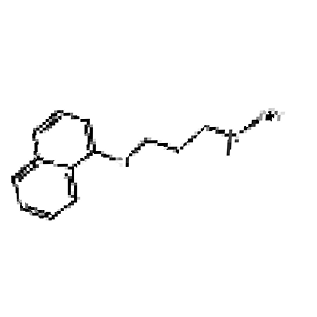 CCCNCCCOc1cccc2ccccc12